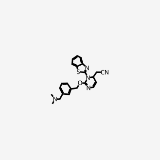 CN(C)Cc1cccc(COC2=NC=CC(CC#N)N2c2nc3ccccc3s2)c1